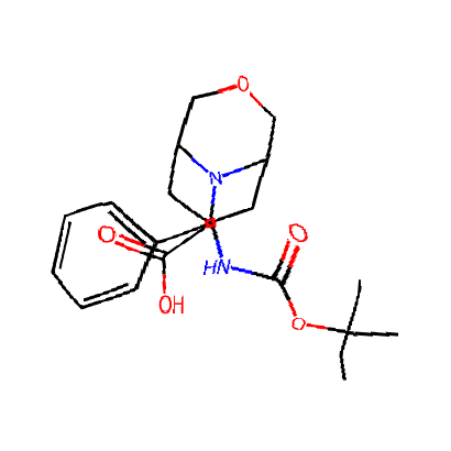 CC(C)(C)OC(=O)NC1(C(=O)O)CC2COCC(C1)N2Cc1ccccc1